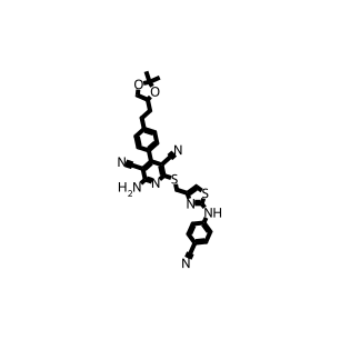 CC1(C)OCC(CCc2ccc(-c3c(C#N)c(N)nc(SCc4csc(Nc5ccc(C#N)cc5)n4)c3C#N)cc2)O1